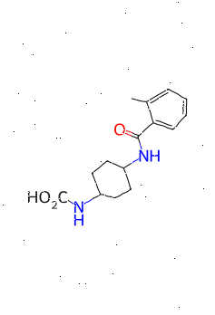 Cc1ccccc1C(=O)NC1CCC(NC(=O)O)CC1